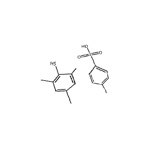 Cc1cc(C)c(S)c(C)c1.Cc1ccc(S(=O)(=O)O)cc1